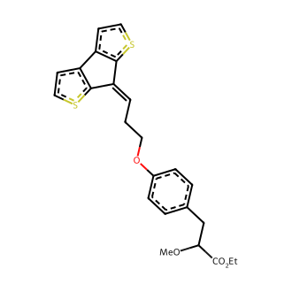 CCOC(=O)C(Cc1ccc(OCCC=C2c3sccc3-c3ccsc32)cc1)OC